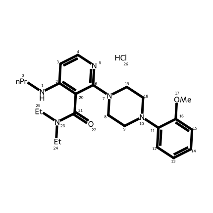 CCCNc1ccnc(N2CCN(c3ccccc3OC)CC2)c1C(=O)N(CC)CC.Cl